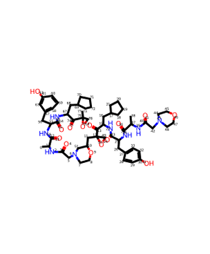 CC(NC(=O)CN1CCOC(CC2(C(=O)C(CC3CCCC3)NC(=O)C(Cc3ccc(O)cc3)NC(=O)C(C)NC(=O)CN3CCOCC3)CO2)C1)C(=O)NC(Cc1cccc(O)c1)C(=O)NC(CC1CCCC1)C(=O)C1(C)CO1